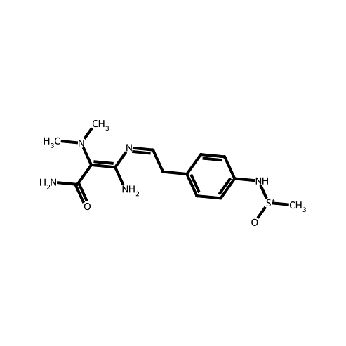 CN(C)/C(C(N)=O)=C(N)\N=C/Cc1ccc(N[S+](C)[O-])cc1